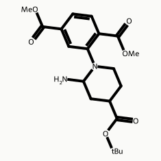 COC(=O)c1ccc(C(=O)OC)c(N2CCC(C(=O)OC(C)(C)C)CC2N)c1